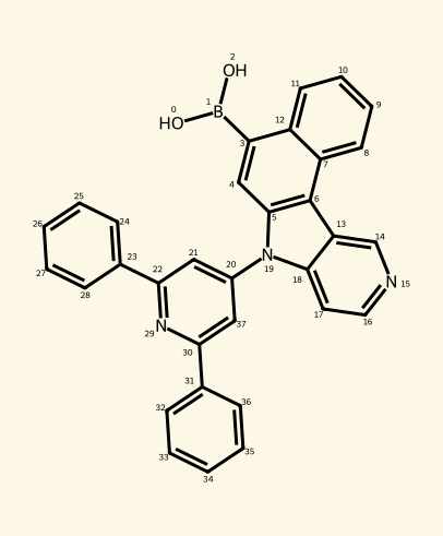 OB(O)c1cc2c(c3ccccc13)c1cnccc1n2-c1cc(-c2ccccc2)nc(-c2ccccc2)c1